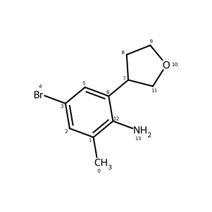 Cc1cc(Br)cc(C2CCOC2)c1N